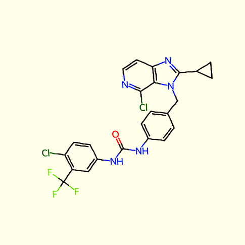 O=C(Nc1ccc(Cn2c(C3CC3)nc3ccnc(Cl)c32)cc1)Nc1ccc(Cl)c(C(F)(F)F)c1